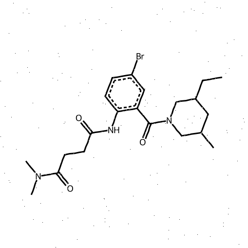 CCC1CC(C)CN(C(=O)c2cc(Br)ccc2NC(=O)CCC(=O)N(C)C)C1